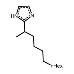 CCCCCCCCCCC(C)c1ncc[nH]1